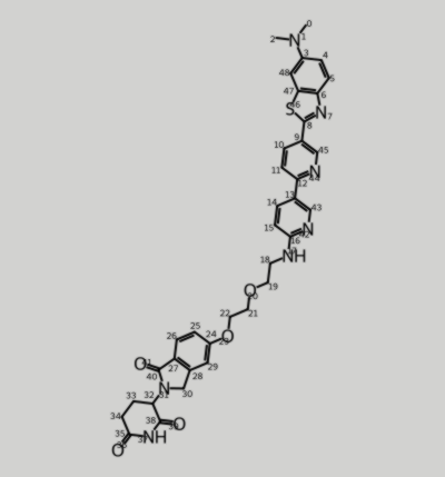 CN(C)c1ccc2nc(-c3ccc(-c4ccc(NCCOCCOc5ccc6c(c5)CN(C5CCC(=O)NC5=O)C6=O)nc4)nc3)sc2c1